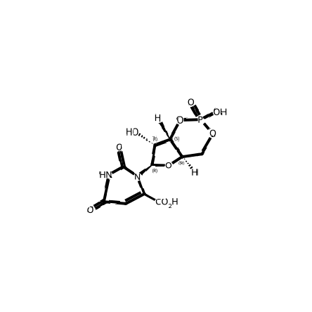 O=C(O)c1cc(=O)[nH]c(=O)n1[C@@H]1O[C@@H]2COP(=O)(O)O[C@H]2[C@H]1O